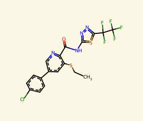 CCSc1cc(-c2ccc(Cl)cc2)cnc1C(=O)Nc1nnc(C(F)(F)C(F)(F)F)s1